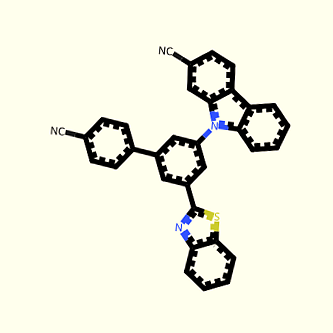 N#Cc1ccc(-c2cc(-c3nc4ccccc4s3)cc(-n3c4ccccc4c4ccc(C#N)cc43)c2)cc1